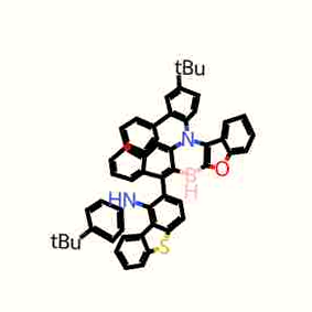 CC(C)(C)c1ccc(Nc2c(-c3c4c(cc5ccccc35)N(c3ccc(C(C)(C)C)cc3-c3ccccc3)c3c(oc5ccccc35)B4)ccc3sc4ccccc4c23)cc1